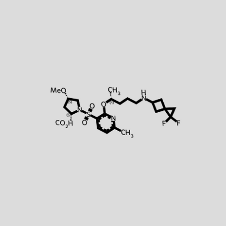 CO[C@H]1C[C@@H](C(=O)O)N(S(=O)(=O)c2ccc(C)nc2O[C@H](C)CCCNC2CC3(C2)CC3(F)F)C1